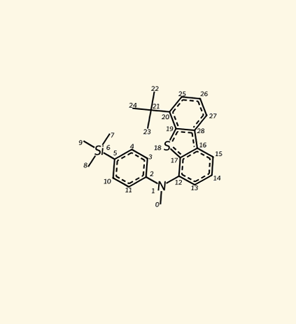 CN(c1ccc([Si](C)(C)C)cc1)c1cccc2c1sc1c(C(C)(C)C)cccc12